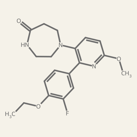 CCOc1ccc(-c2nc(OC)ccc2N2CCNC(=O)CC2)cc1F